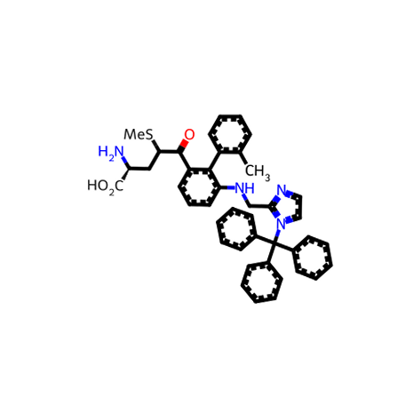 CSC(C[C@H](N)C(=O)O)C(=O)c1cccc(NCc2nccn2C(c2ccccc2)(c2ccccc2)c2ccccc2)c1-c1ccccc1C